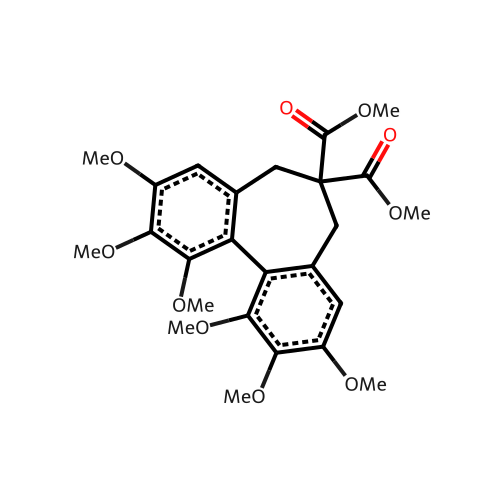 COC(=O)C1(C(=O)OC)Cc2cc(OC)c(OC)c(OC)c2-c2c(cc(OC)c(OC)c2OC)C1